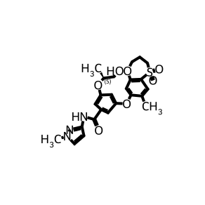 Cc1cc2c(cc1Oc1cc(O[C@@H](C)CO)cc(C(=O)Nc3ccn(C)n3)c1)OCCCS2(=O)=O